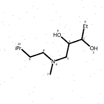 CCC(O)C(O)CN(C)CCC(C)C